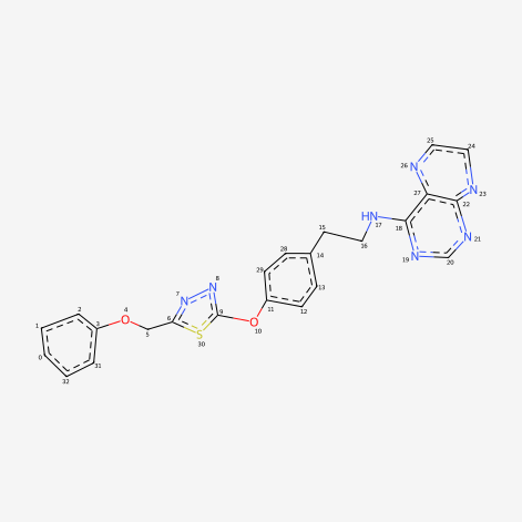 c1ccc(OCc2nnc(Oc3ccc(CCNc4ncnc5nccnc45)cc3)s2)cc1